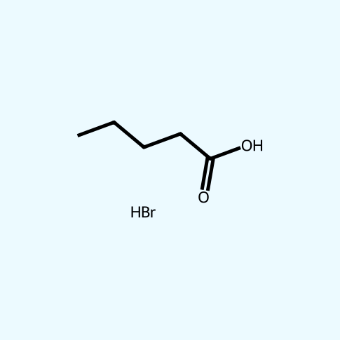 Br.CCCCC(=O)O